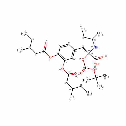 CCC(C)CC(=O)Oc1ccc(C[C@](NC(C)CC)(OC(=O)OC(C)(C)C)C(=O)O)cc1OC(=O)CC(C)CC